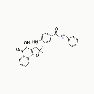 CC1(C)OC2=C(C(O)C(=O)c3ccccc32)C1Nc1ccc(C(=O)/C=C/c2ccccc2)cc1